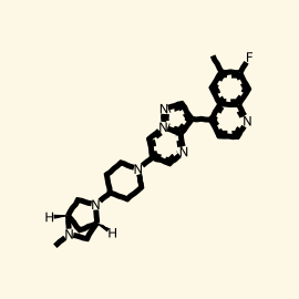 Cc1cc2c(-c3cnn4cc(N5CCC(N6C[C@@H]7C[C@H]6CN7C)CC5)cnc34)ccnc2cc1F